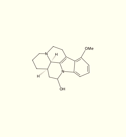 COc1cccc2c1c1c3n2C(O)C[C@H]2CCCN(CC1)[C@@H]32